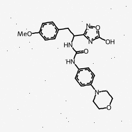 COc1ccc(CC(NC(=O)Nc2ccc(N3CCOCC3)cc2)c2noc(O)n2)cc1